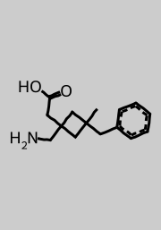 CC1(Cc2ccccc2)CC(CN)(CC(=O)O)C1